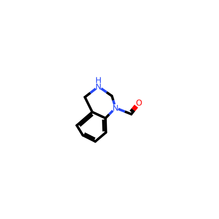 O=CN1CNCc2ccccc21